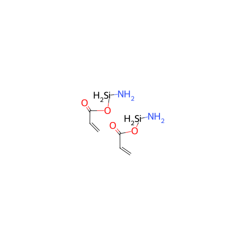 C=CC(=O)O[SiH2]N.C=CC(=O)O[SiH2]N